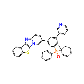 CC1(P(=O)(c2ccccc2)c2cc(-c3cccnc3)cc(-c3ccc4nc5c6ccccc6sc5n4c3)c2)C=CC=CC1